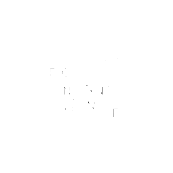 CN(CC(F)(F)F)C(=O)c1nc2n(n1)[C@H](c1ccccc1)C[C@@H]2F